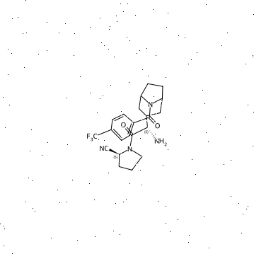 N#C[C@@H]1CCCN1C(=O)[C@@H](N)C1CC2CCC(C1)N2C(=O)c1ccc(C(F)(F)F)cc1